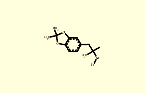 BC(C)(Cc1ccc2c(c1)OC(B)(B)O2)NCC